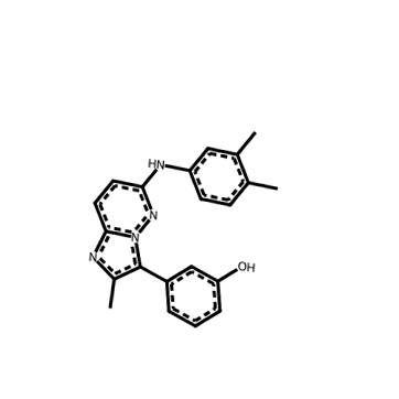 Cc1ccc(Nc2ccc3nc(C)c(-c4cccc(O)c4)n3n2)cc1C